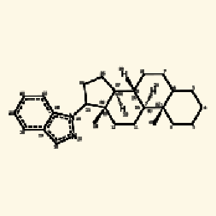 C[C@]12CCCCC1CC[C@@H]1[C@@H]2CC[C@]2(C)C(n3ncc4ccccc43)CC[C@@H]12